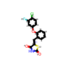 O=C1NC(=O)/C(=C/c2ccccc2Oc2ccc(Cl)c(F)c2)S1